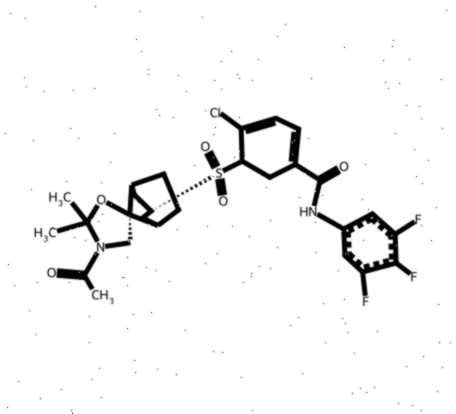 CC(=O)N1C[C@]2(OC1(C)C)C1CCC2C[C@@H](S(=O)(=O)C2CC(C(=O)Nc3cc(F)c(F)c(F)c3)=CC=C2Cl)C1